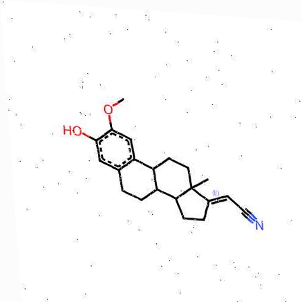 COc1cc2c(cc1O)CCC1C2CCC2(C)/C(=C/C#N)CCC12